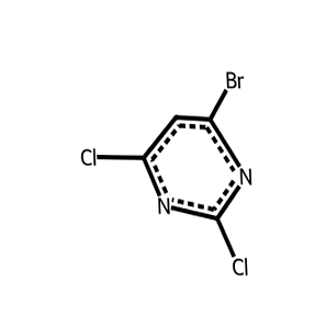 Clc1cc(Br)nc(Cl)n1